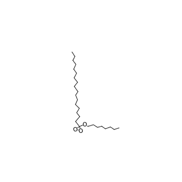 CCCCCCCCCCCCCCCCCC1(OCCCCCCCC)OO1